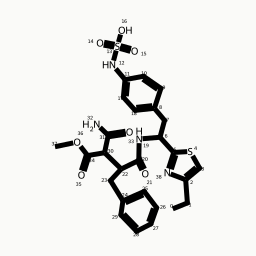 CCc1csc(C(Cc2ccc(NS(=O)(=O)O)cc2)NC(=O)C(Cc2ccccc2)C(C(N)=O)C(=O)OC)n1